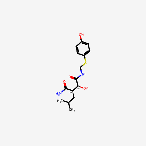 CC(C)C[C@@H](C(N)=O)[C@H](O)C(=O)NCSc1ccc(O)cc1